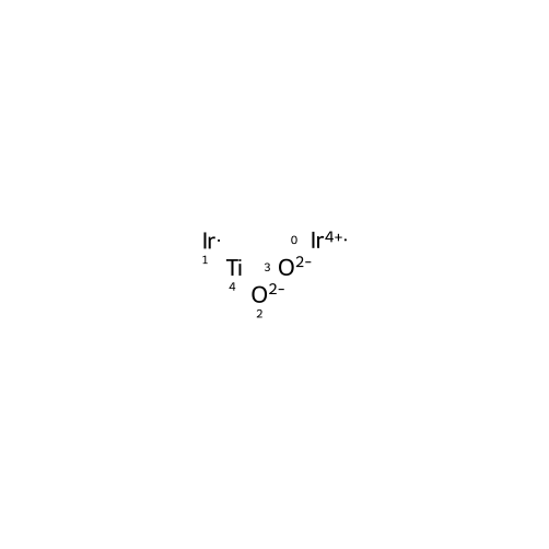 [Ir+4].[Ir].[O-2].[O-2].[Ti]